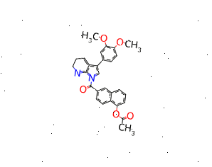 COc1ccc(-c2cn(C(=O)c3ccc4c(OC(C)=O)cccc4c3)c3c2=CCCN=3)cc1OC